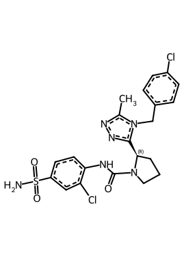 Cc1nnc([C@H]2CCCN2C(=O)Nc2ccc(S(N)(=O)=O)cc2Cl)n1Cc1ccc(Cl)cc1